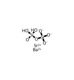 [Ba+2].[O-][Si]([O-])([O-])O[Si]([O-])(O)O.[Sr+2]